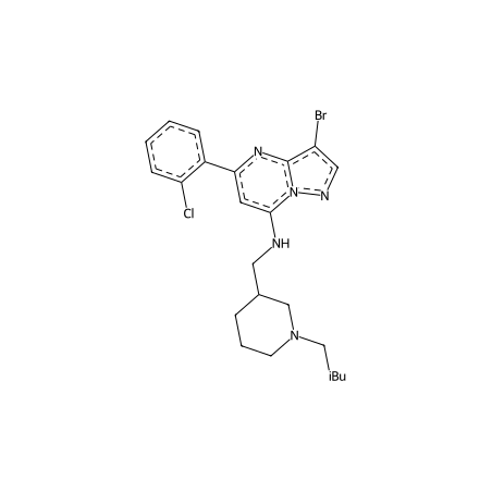 CCC(C)CN1CCCC(CNc2cc(-c3ccccc3Cl)nc3c(Br)cnn23)C1